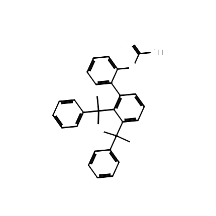 CC(C)(c1ccccc1)c1cccc(-c2ccccc2OC(=O)O)c1C(C)(C)c1ccccc1